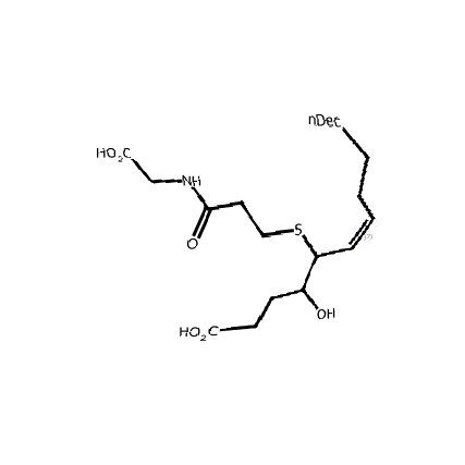 CCCCCCCCCCCC/C=C\C(SCCC(=O)NCC(=O)O)C(O)CCC(=O)O